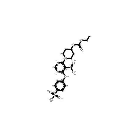 CCOC(=O)OC1CCN(c2ncnc(Oc3ccc(S(=O)(=O)O)cc3)c2[N+](=O)[O-])CC1